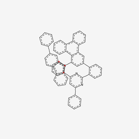 c1ccc(-c2ccc3c4ccccc4n(-c4cc(-c5ccccc5-c5nc(-c6ccccc6)cc(-c6ccccc6)n5)cc5c6ccccc6c6ccccc6c45)c3c2)cc1